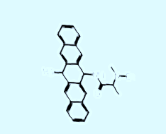 CCN(C)C(C)C(=O)NC1c2cc3ccccc3cc2C(S)c2cc3ccccc3cc21